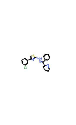 Clc1cccc(-c2csc(N/N=C(\c3ccccc3)c3ccccn3)n2)c1